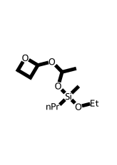 CCC[Si](C)(OCC)OC(C)OC1CCO1